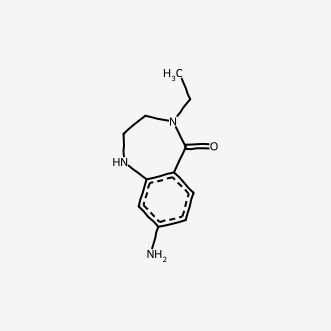 CCN1CCNc2cc(N)ccc2C1=O